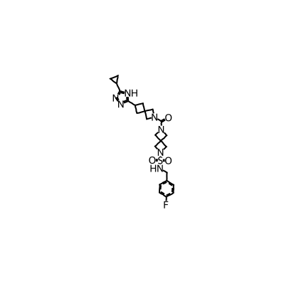 O=C(N1CC2(CC(c3nnc(C4CC4)[nH]3)C2)C1)N1CC2(C1)CN(S(=O)(=O)NCc1ccc(F)cc1)C2